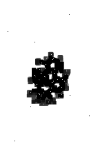 Cc1ccnc2c1c1ncc3n1c1c(ccc(C)c21)C(C)(C)C3(C)C